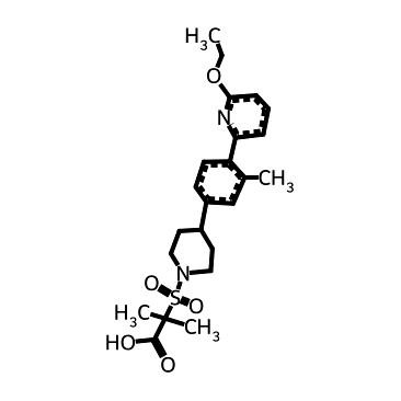 CCOc1cccc(-c2ccc(C3CCN(S(=O)(=O)C(C)(C)C(=O)O)CC3)cc2C)n1